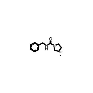 C[C@H]1CCN(C(=O)NCc2ccccc2)C1